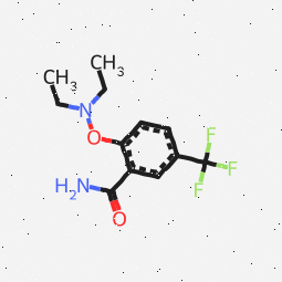 CCN(CC)Oc1ccc(C(F)(F)F)cc1C(N)=O